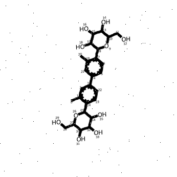 Cc1cc(-c2ccc(C3OC(CO)C(O)C(O)C3O)c(C)c2)ccc1C1OC(CO)C(O)C(O)C1O